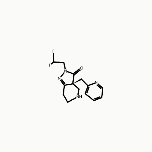 O=C1N(CC(F)F)N=C2CCNC[C@@]12Cc1ccccn1